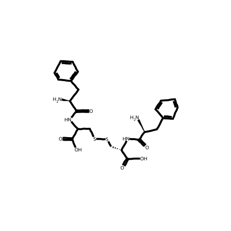 N[C@@H](Cc1ccccc1)C(=O)NC(CSSC[C@H](NC(=O)[C@@H](N)Cc1ccccc1)C(=O)O)C(=O)O